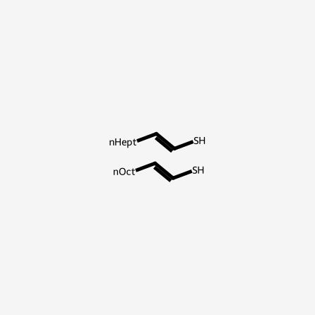 CCCCCCCC=CS.CCCCCCCCC=CS